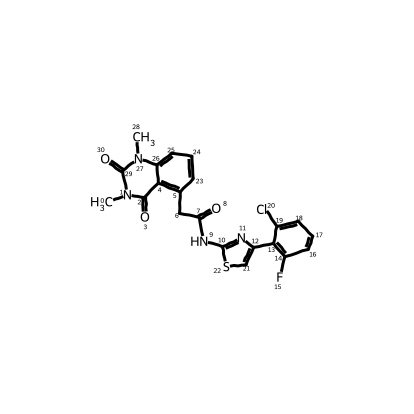 Cn1c(=O)c2c(CC(=O)Nc3nc(-c4c(F)cccc4Cl)cs3)cccc2n(C)c1=O